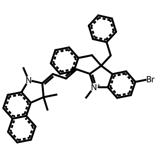 CN1/C(=C/C=C/C2=[N+](C)c3ccc(Br)cc3C2(Cc2ccccc2)Cc2ccccc2)C(C)(C)c2c1ccc1ccccc21